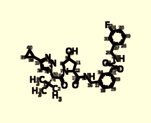 CC(C)(C)[C@@H](C(=O)N1CC(O)CC1C(=O)NCc1cccc(S(=O)(=O)NCc2cccc(F)c2)c1)n1cc(C2CC2)nn1